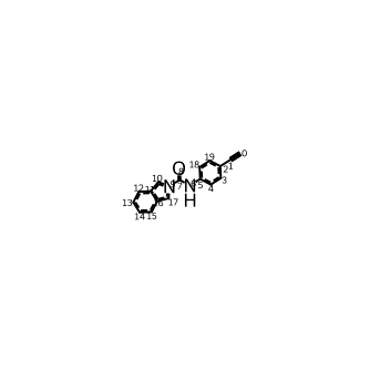 C#Cc1ccc(NC(=O)n2cc3ccccc3c2)cc1